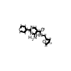 Nc1nc(-c2ccccc2)ncc1C(=O)NCc1ccco1